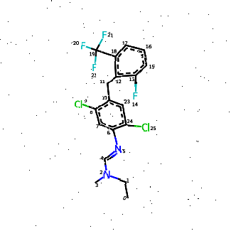 CCN(C)C=Nc1cc(Cl)c(Cc2c(F)cccc2C(F)(F)F)cc1Cl